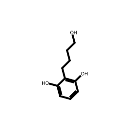 OCCCCc1c(O)cccc1O